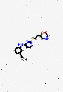 C#Cc1cccc(Nc2ccnc(SCCC3CNCCO3)n2)c1